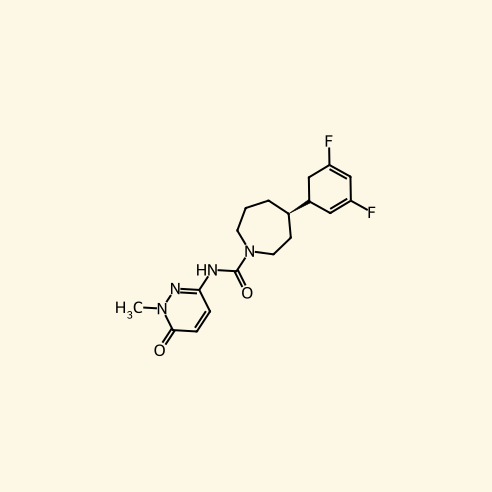 Cn1nc(NC(=O)N2CCC[C@@H](C3C=C(F)C=C(F)C3)CC2)ccc1=O